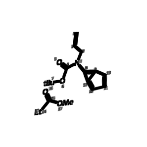 C=CCN(C(=O)OC(C)(C)C)c1c2cccc1-2.CCC(=O)OC